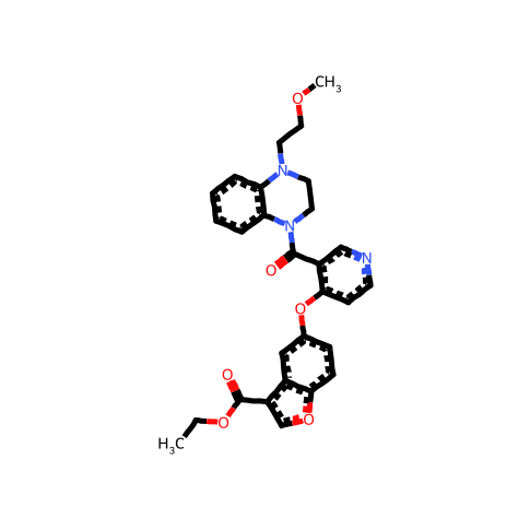 CCOC(=O)c1coc2ccc(Oc3ccncc3C(=O)N3CCN(CCOC)c4ccccc43)cc12